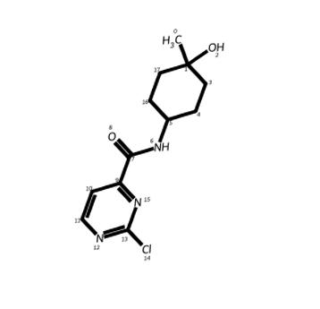 CC1(O)CCC(NC(=O)c2ccnc(Cl)n2)CC1